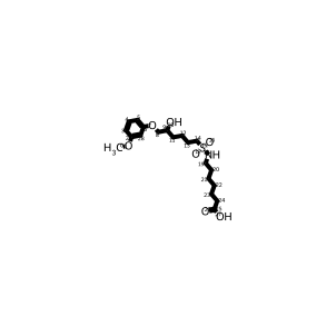 COc1cccc(OCC(O)CCCCS(=O)(=O)NCCCCCCC(=O)O)c1